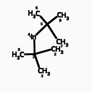 C[C](C)(C)[In][C](C)(C)C